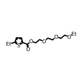 CCOCCOCCOCCOC(=O)c1ccc(CC)s1